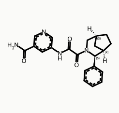 NC(=O)c1cncc(NC(=O)C(=O)N2C[C@H]3CC[C@H](C3)[C@H]2c2ccccc2)c1